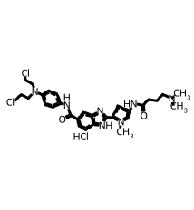 CN(C)CCCC(=O)Nc1cc(-c2nc3cc(C(=O)Nc4ccc(N(CCCl)CCCl)cc4)ccc3[nH]2)n(C)c1.Cl